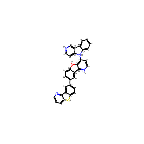 c1cnc2c(c1)sc1ccc(-c3ccc4oc5c(-n6c7ccccc7c7cnccc76)ccnc5c4c3)cc12